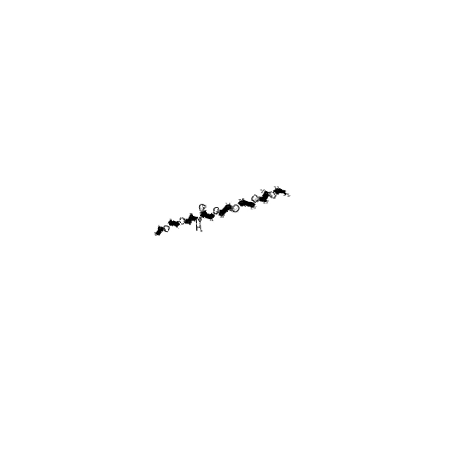 CCOCCOCCNC(=O)COCCOCCOCCOCC